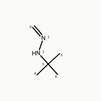 C=NNC(C)(C)C